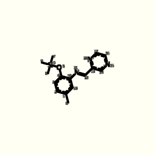 Cc1ccc(O[Si](C)(C)C)c(N=Cc2cnccn2)c1